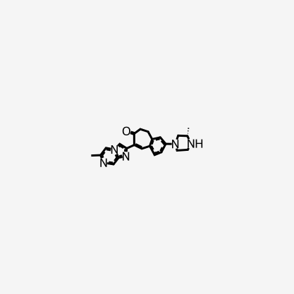 Cc1cn2cc(C3=Cc4ccc(N5CCN[C@@H](C)C5)cc4CCC3=O)nc2cn1